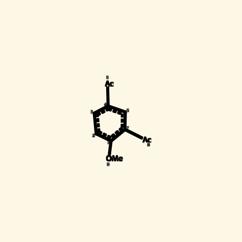 COc1ccc(C(C)=O)cc1C(C)=O